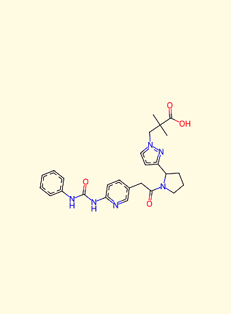 CC(C)(Cn1ccc(C2CCCN2C(=O)Cc2ccc(NC(=O)Nc3ccccc3)nc2)n1)C(=O)O